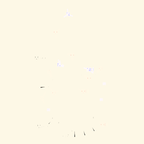 COc1cc(OCCN(C)C)cc2oc3c4c(=O)c5c(O)c(C)c6c(c5c-3nc12)C(=O)[C@@](C)(O/C=C/[C@H](OC)[C@@H](C)[C@@H](OC(C)=O)[C@H](C)[C@H](C)[C@H](C)[C@@H](O)[C@@H](C)/C=C/C=C(/C)C(=O)N4)O6